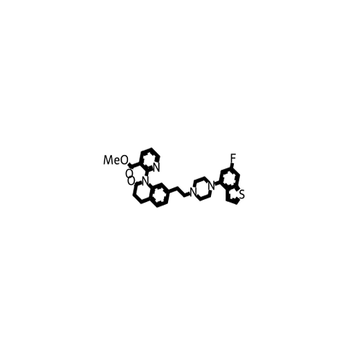 COC(=O)c1cccnc1N1C(=O)CCc2ccc(CCN3CCN(c4cc(F)cc5sccc45)CC3)cc21